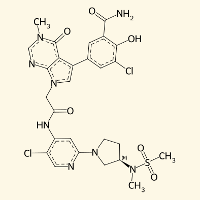 CN([C@@H]1CCN(c2cc(NC(=O)Cn3cc(-c4cc(Cl)c(O)c(C(N)=O)c4)c4c(=O)n(C)cnc43)c(Cl)cn2)C1)S(C)(=O)=O